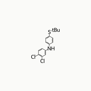 CC(C)(C)Sc1ccc(Nc2ccc(Cl)c(Cl)c2)cc1